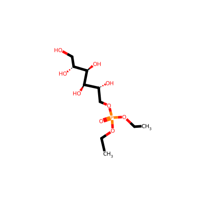 CCOP(=O)(OCC)OC[C@@H](O)[C@@H](O)[C@H](O)[C@H](O)CO